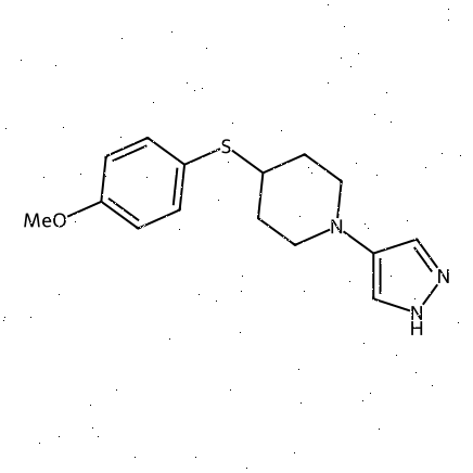 COc1ccc(SC2CCN(c3cn[nH]c3)CC2)cc1